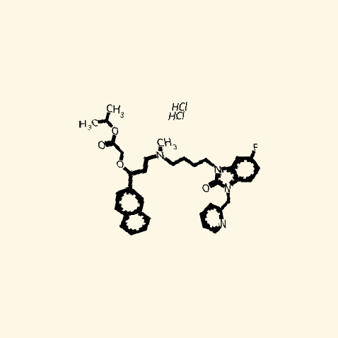 CC(C)OC(=O)COC(CCN(C)CCCCn1c(=O)n(Cc2ccccn2)c2ccc(F)cc21)c1ccc2ccccc2c1.Cl.Cl